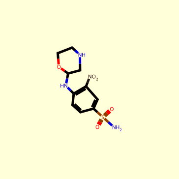 NS(=O)(=O)c1ccc(NC2CNCCO2)c([N+](=O)[O-])c1